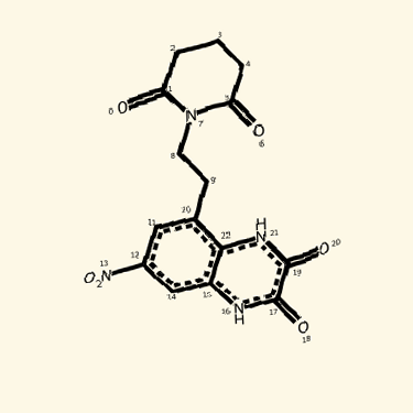 O=C1CCCC(=O)N1CCc1cc([N+](=O)[O-])cc2[nH]c(=O)c(=O)[nH]c12